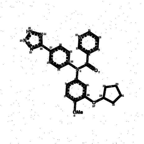 COc1ccc(N(C(=O)c2cccnc2)c2ccc(-c3nn[nH]n3)cc2)cc1OC1CCCC1